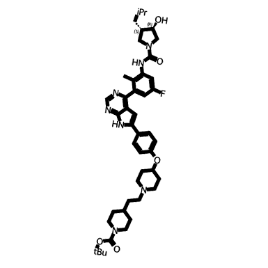 Cc1c(NC(=O)N2C[C@H](CC(C)C)[C@@H](O)C2)cc(F)cc1-c1ncnc2[nH]c(-c3ccc(OC4CCN(CCC5CCN(C(=O)OC(C)(C)C)CC5)CC4)cc3)cc12